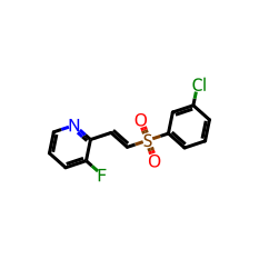 O=S(=O)(C=Cc1ncccc1F)c1cccc(Cl)c1